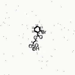 O=C(OCCS(=O)(=O)O)c1ccccc1Br